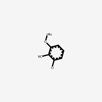 CCCCOc1cccc(Cl)c1C#N